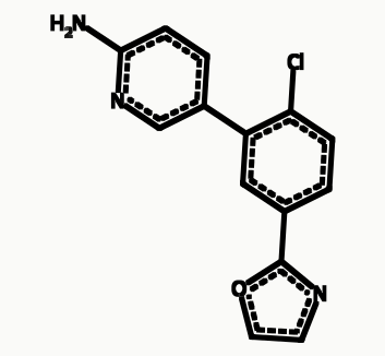 Nc1ccc(-c2cc(-c3ncco3)ccc2Cl)cn1